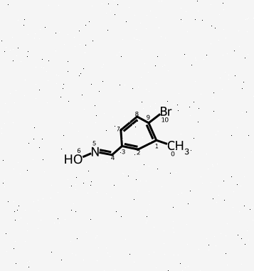 Cc1cc(/C=N/O)ccc1Br